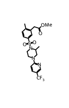 COC(=O)Cc1cc(S(=O)(=O)N2CCN(c3ccc(C(F)(F)F)cn3)CC2C)ccc1C